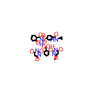 COc1cc(OC)nc(Oc2cccc(Oc3nc(OC)cc(OC)n3)c2C(=O)O)n1.COc1ccccc1C(=O)NS(=O)(=O)c1ccc(C(=O)NC2CC2)cc1